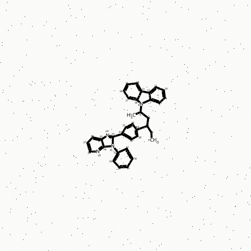 CCC(CC(C)n1c2ccccc2c2ccccc21)c1ccc(-c2nc3cccnc3n2-c2ccccc2)cc1